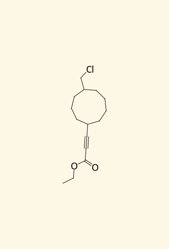 CCOC(=O)C#CC1CCCCC(CCl)CCC1